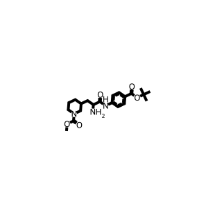 COC(=O)N1CCCC(CC(N)C(=O)Nc2ccc(C(=O)OC(C)(C)C)cc2)C1